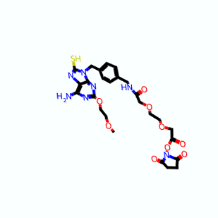 COCCOc1nc(N)c2nc(S)n(Cc3ccc(CNC(=O)COCCOCC(=O)ON4C(=O)CCC4=O)cc3)c2n1